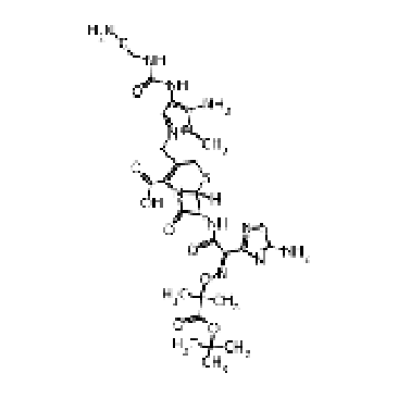 Cn1c(N)c(NC(=O)NCCN)c[n+]1CC1=C(C(=O)O)N2C(=O)[C@@H](NC(=O)/C(=N\OC(C)(C)C(=O)OC(C)(C)C)c3nsc(N)n3)[C@H]2SC1